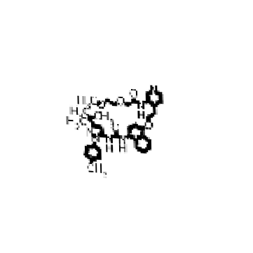 COCCOCC(=O)Nc1cnccc1CCOc1ccc(NC(=O)Nc2cc(C(C)(C)C)nn2-c2ccc(C)cc2)c2ccccc12